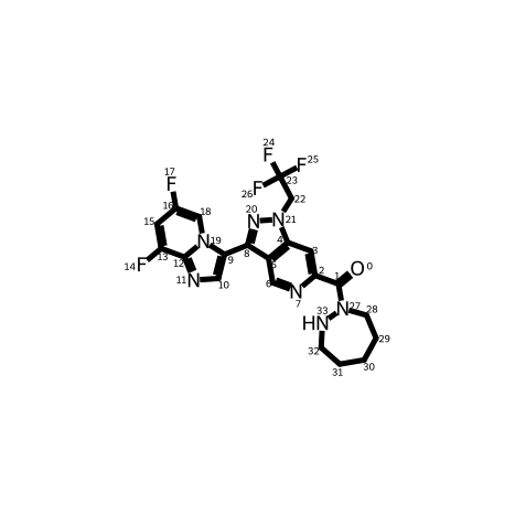 O=C(c1cc2c(cn1)c(-c1cnc3c(F)cc(F)cn13)nn2CC(F)(F)F)N1CCCCCN1